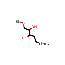 CCCCCCCC(O)C(O)COCC